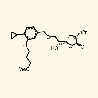 CCC[C@@H]1C[C@@H]([C@H](O)COCc2ccc(C3CC3)c(OCCCOC)c2)OC1=O